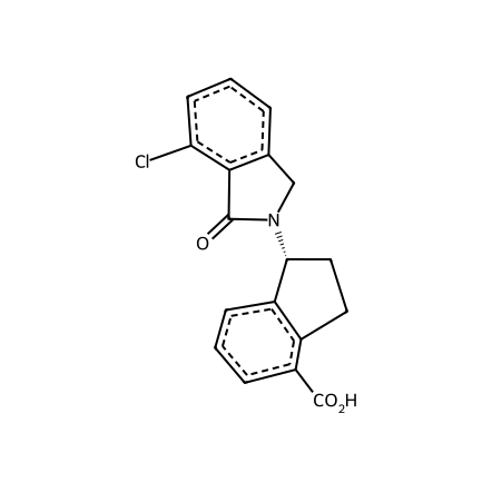 O=C(O)c1cccc2c1CC[C@H]2N1Cc2cccc(Cl)c2C1=O